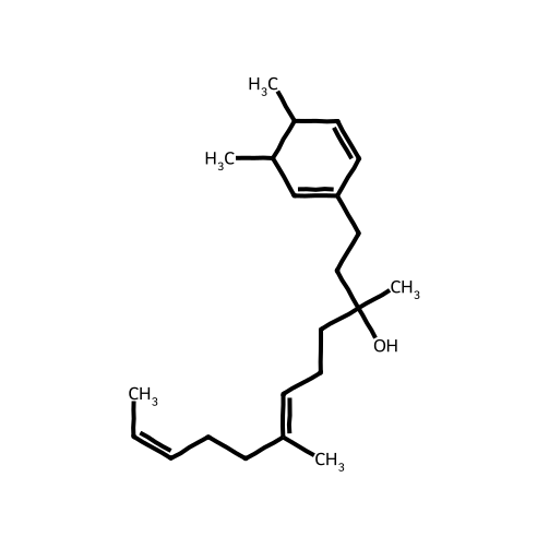 C/C=C\CC/C(C)=C/CCC(C)(O)CCC1=CC(C)C(C)C=C1